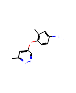 Cc1cc(Oc2ccc(N)cc2C)cnn1